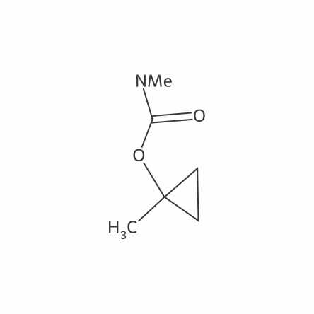 CNC(=O)OC1(C)CC1